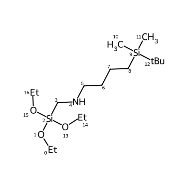 CCO[Si](CNCCCC[Si](C)(C)C(C)(C)C)(OCC)OCC